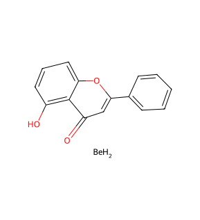 O=c1cc(-c2ccccc2)oc2cccc(O)c12.[BeH2]